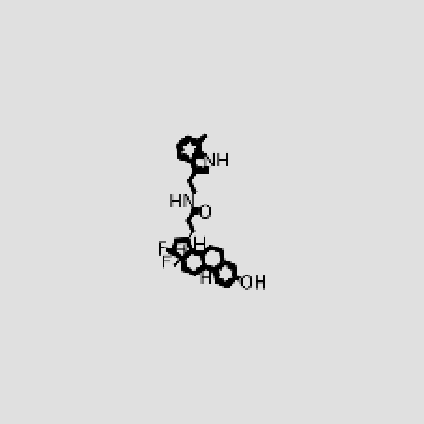 Cc1cccc2c(CCNC(=O)CC[C@@H]3CC(F)(F)[C@@]4(C)CC[C@@H]5c6ccc(O)cc6CC[C@H]5[C@H]34)c[nH]c12